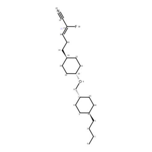 CCCC[C@H]1CC[C@H](CO[C@H]2CC[C@H](CC/C=C(\F)C#N)CC2)CC1